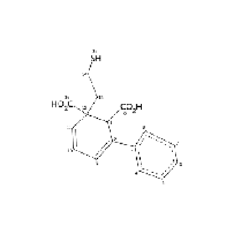 O=C(O)C1C(c2ccccc2)=CC=CC1(CCS)C(=O)O